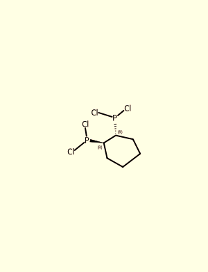 ClP(Cl)[C@@H]1CCCC[C@H]1P(Cl)Cl